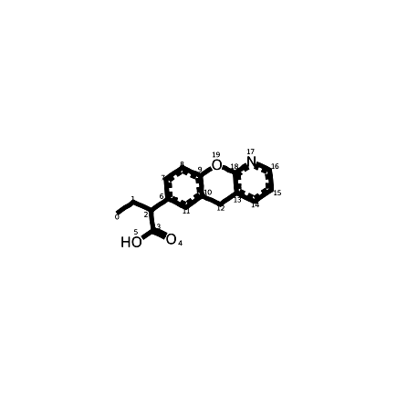 CCC(C(=O)O)c1ccc2c(c1)Cc1cccnc1O2